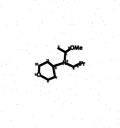 COC(C)N(CC(C)C)C1CCOCC1